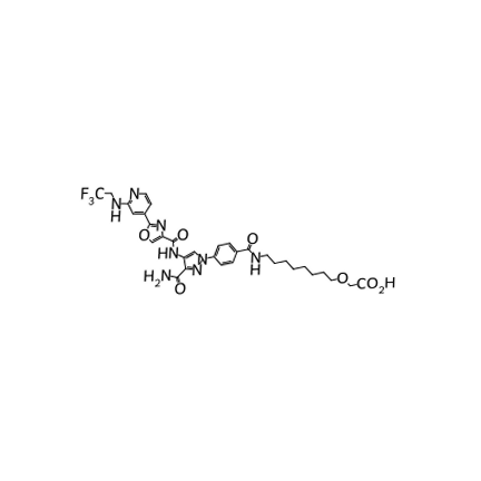 NC(=O)c1nn(-c2ccc(C(=O)NCCCCCCCCOCC(=O)O)cc2)cc1NC(=O)c1coc(-c2ccnc(NCC(F)(F)F)c2)n1